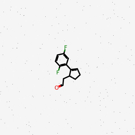 O=CCC1CCC=C1c1cc(F)ccc1F